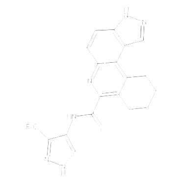 O=C(Nc1c[nH]nc1C(F)(F)F)c1nc2ccc3[nH]ncc3c2c2c1CCCC2